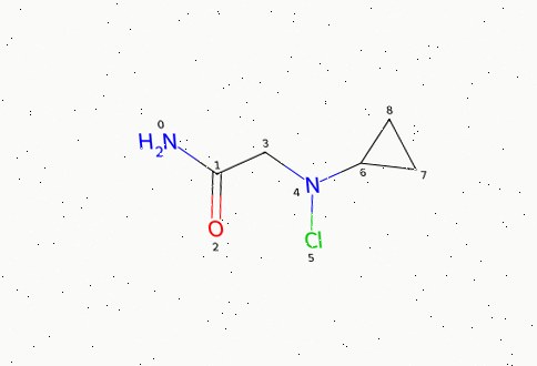 NC(=O)CN(Cl)C1CC1